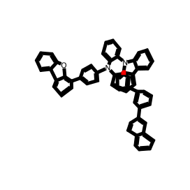 c1cc(-c2ccc(N(c3ccc(-c4cccc5c4oc4ccccc45)cc3)c3ccccc3-n3c4ccccc4c4ccccc43)cc2)cc(-c2ccc3ccccc3c2)c1